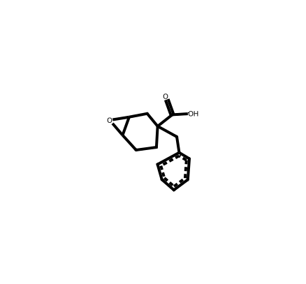 O=C(O)C1(Cc2ccccc2)CCC2OC2C1